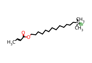 CC=CC(=O)OCCCCCCCCCCCCC[Si](C)(C)Br